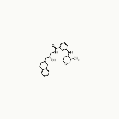 CC1COCCC1Nc1cccc(C(=O)NCC(O)CN2CCc3ccccc3C2)c1